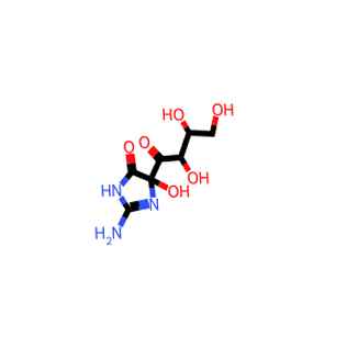 NC1=NC(O)(C(=O)C(O)C(O)CO)C(=O)N1